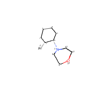 CC(=O)[C@@H]1CCCC[C@@H]1N1CCOCC1